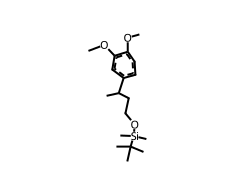 COc1ccc(C(C)CCO[Si](C)(C)C(C)(C)C)cc1OC